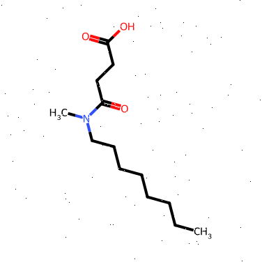 CCCCCCCCN(C)C(=O)CCC(=O)O